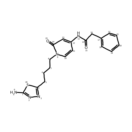 Nc1nnc(CCCCn2ccc(NC(=O)Cc3ccccc3)cc2=O)s1